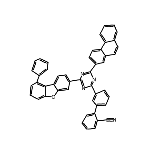 N#Cc1ccccc1-c1cccc(-c2nc(-c3ccc4c(ccc5ccccc54)c3)nc(-c3ccc4c(c3)oc3cccc(-c5ccccc5)c34)n2)c1